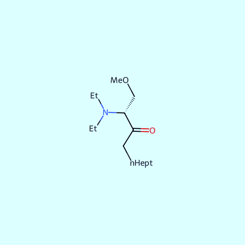 CCCCCCCCC(=O)[C@@H](COC)N(CC)CC